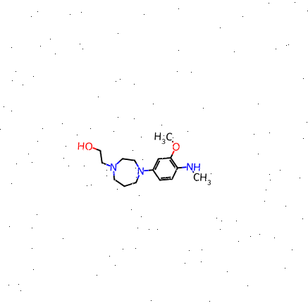 CNc1ccc(N2CCCN(CCO)CC2)cc1OC